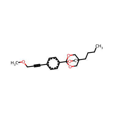 CCCCC12COC(c3ccc(C#CCOC)cc3)(OC1)OC2